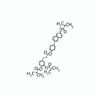 C=C(C)C(=O)Oc1ccc2cc(-c3ccc(OC(=O)CCc4ccc(OC(=O)C(=C)C)c(OC(=O)C(=C)C)c4)cc3)ccc2c1